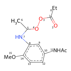 CCC(=O)OOC(C)Nc1cc(NC(C)=O)ccc1OC